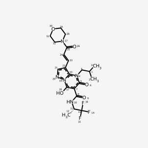 CC(C)Cn1c(=O)c(C(=O)N[C@@H](C)C(F)(F)F)c(O)n2ncc(/C=C/C(=O)N3CCOCC3)c12